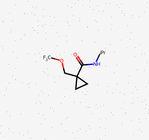 CC(C)NC(=O)C1(COC(F)(F)F)CC1